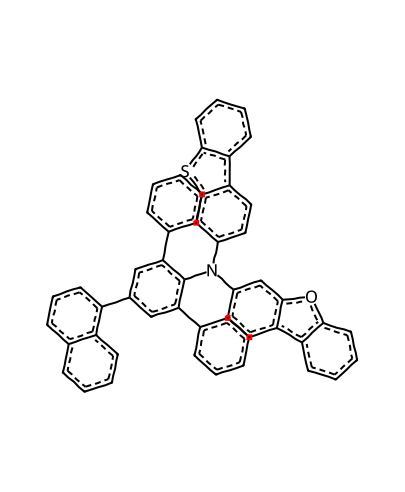 c1ccc(-c2cc(-c3cccc4ccccc34)cc(-c3ccccc3)c2N(c2ccc3c(c2)oc2ccccc23)c2ccc3c(c2)sc2ccccc23)cc1